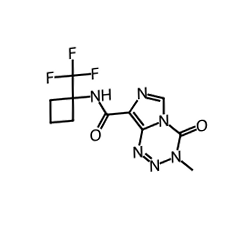 Cn1nnc2c(C(=O)NC3(C(F)(F)F)CCC3)ncn2c1=O